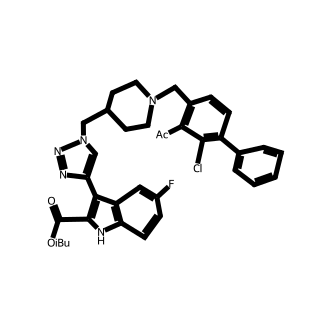 CC(=O)c1c(CN2CCC(Cn3cc(-c4c(C(=O)OCC(C)C)[nH]c5ccc(F)cc45)nn3)CC2)ccc(-c2ccccc2)c1Cl